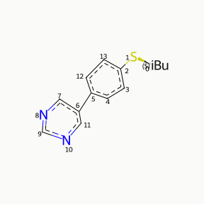 CC[C@H](C)Sc1ccc(-c2cncnc2)cc1